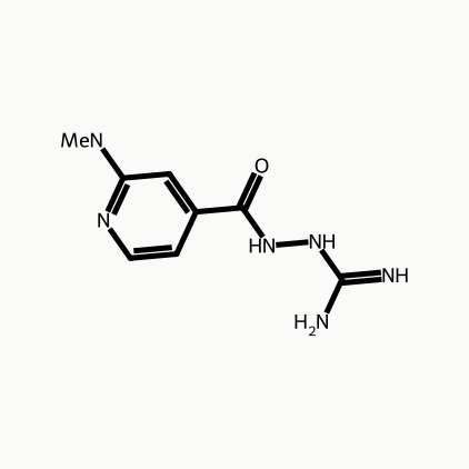 CNc1cc(C(=O)NNC(=N)N)ccn1